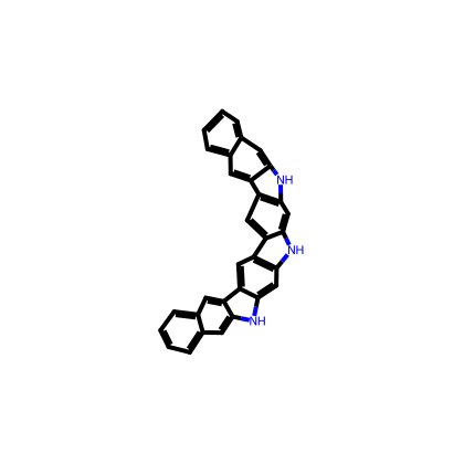 c1ccc2cc3c(cc2c1)[nH]c1cc2[nH]c4cc5[nH]c6cc7ccccc7cc6c5cc4c2cc13